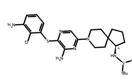 CC(C)(C)[S+]([O-])N[C@@H]1CCCC12CCN(c1cnc(Sc3cccc(N)c3Cl)c(N)n1)CC2